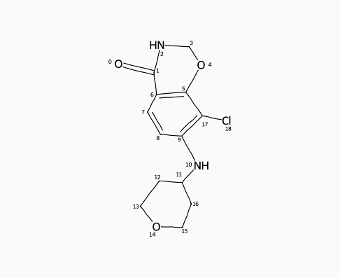 O=C1NCOc2c1ccc(NC1CCOCC1)c2Cl